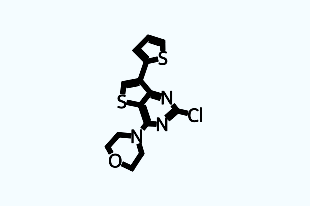 Clc1nc(N2CCOCC2)c2scc(-c3cccs3)c2n1